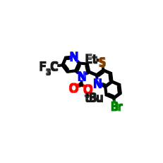 CCSc1cc2ccc(Br)cc2nc1-c1cc2ncc(C(F)(F)F)cc2n1C(=O)OC(C)(C)C